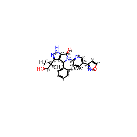 COc1ccccc1C1c2c(C(C)(C)CO)n[nH]c2C(=O)N1c1ccc(-c2ccon2)cn1